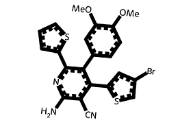 COc1ccc(-c2c(-c3cccs3)nc(N)c(C#N)c2-c2cc(Br)cs2)cc1OC